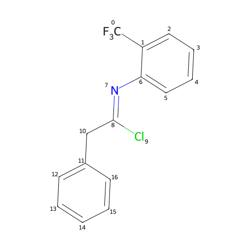 FC(F)(F)c1ccccc1N=C(Cl)Cc1ccccc1